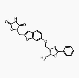 Cc1oc(-c2ccccc2)nc1COc1ccc2cc(CC3OC(=O)NC3=O)oc2c1